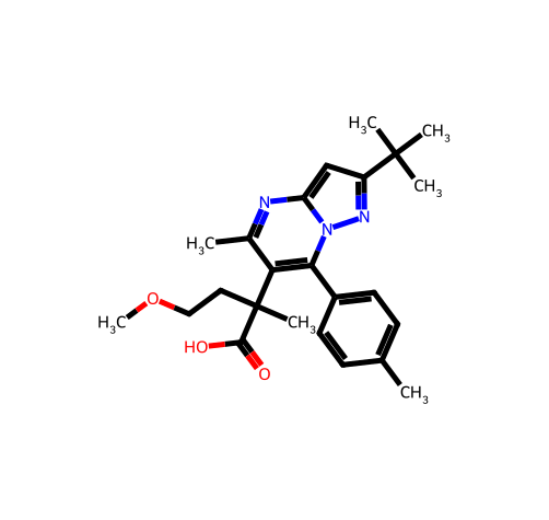 COCCC(C)(C(=O)O)c1c(C)nc2cc(C(C)(C)C)nn2c1-c1ccc(C)cc1